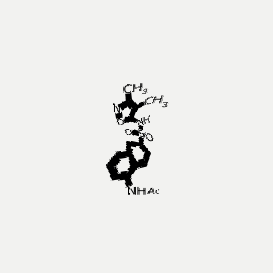 CC(=O)Nc1cccc2cc(S(=O)(=O)Nc3onc(C)c3C)ccc12